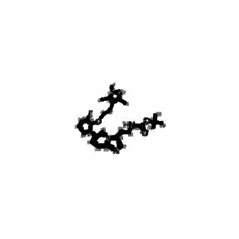 Cc1nn(C)c(C)c1CCOc1c(F)cccc1-c1ccc2ncc(CCNC(=O)OC(C)(C)C)n2c1